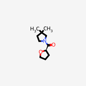 CC1(C)CCN(C(=O)[C@H]2CCCO2)C1